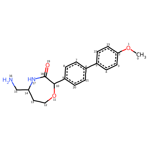 COc1ccc(-c2ccc(C3OCCC(CN)NC3=O)cc2)cc1